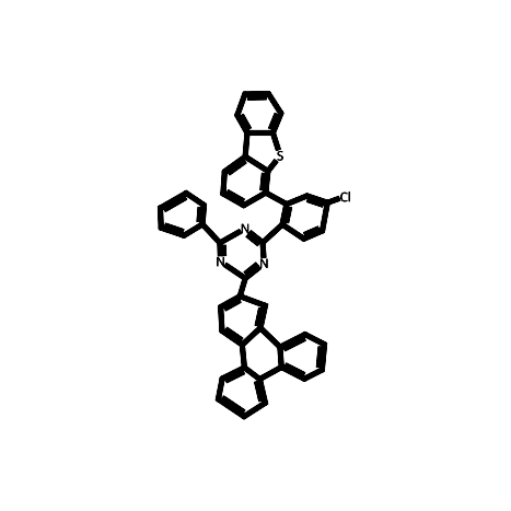 Clc1ccc(-c2nc(-c3ccccc3)nc(-c3ccc4c5ccccc5c5ccccc5c4c3)n2)c(-c2cccc3c2sc2ccccc23)c1